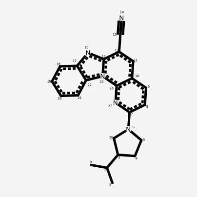 CC(C)C1CCN(c2ccc3cc(C#N)c4nc5ccccc5n4c3n2)C1